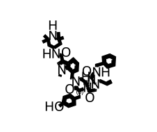 C=CCN1CC(=O)N2[C@@H](Cc3ccc(O)cc3)C(=O)N(Cc3cccc4c(C(=O)NC5CC(C)(C)NC(C)(C)C5)cn(C)c34)C[C@@H]2N1C(=O)NCc1ccccc1